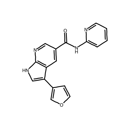 O=C(Nc1ccccn1)c1cnc2[nH]cc(-c3ccoc3)c2c1